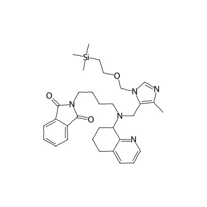 Cc1ncn(COCC[Si](C)(C)C)c1CN(CCCCN1C(=O)c2ccccc2C1=O)C1CCCc2cccnc21